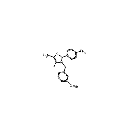 COc1cccc(CN2C(C)=C(N)SC2c2ccc(C(F)(F)F)cc2)c1